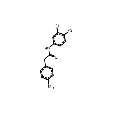 O=C(Cc1ccc(C(F)(F)F)cc1)Nc1ccc(Cl)c(Cl)c1